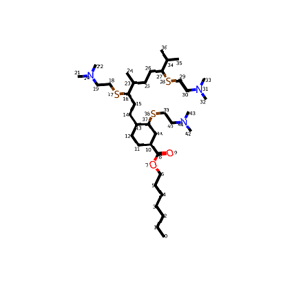 CCCCCCCOC(=O)C1CCC(CCC(SCCN(C)C)C(C)CCC(SCCN(C)C)C(C)C)C(SCCN(C)C)C1